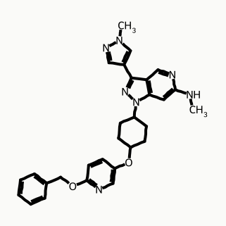 CNc1cc2c(cn1)c(-c1cnn(C)c1)nn2C1CCC(Oc2ccc(OCc3ccccc3)nc2)CC1